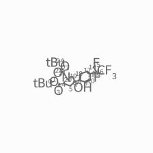 CC(C)(C)OC(=O)[C@@H]1CC(O)(c2ccc(C(F)(CF)C(F)(F)F)cc2)CN1C(=O)OC(C)(C)C